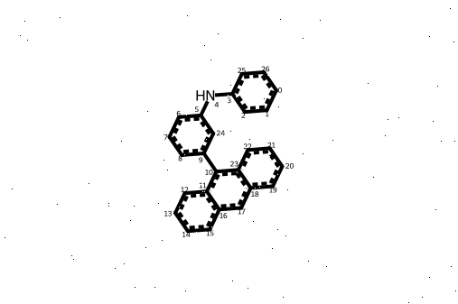 c1ccc(Nc2cccc(-c3c4ccccc4cc4ccccc34)c2)cc1